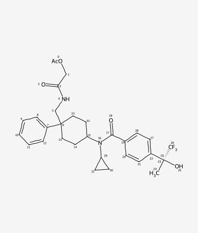 CC(=O)OCC(=O)NCC1(c2ccccc2)CCC(N(C(=O)c2ccc([C@](C)(O)C(F)(F)F)cc2)C2CC2)CC1